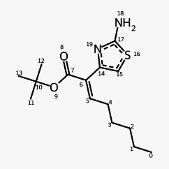 CCCCC/C=C(/C(=O)OC(C)(C)C)c1csc(N)n1